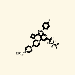 CCOC(=O)N1CCN(C2CCN(c3cc(C(=O)NS(=O)(=O)N(C)C)nc4c3c(C3CCC3)nn4-c3ccc(F)cc3)CC2)CC1